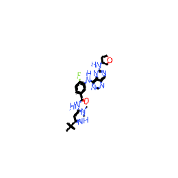 CN(C)/C(=C\C(=N)C(C)(C)C)NC(=O)c1ccc(F)c(Nc2ncnc3cnc(NC4CCOC4)nc23)c1